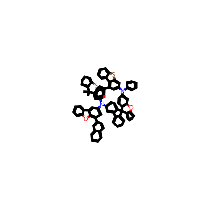 CC1(C)c2ccccc2Sc2ccc(N(c3ccc4c(c3)-c3ccccc3C43c4ccccc4Oc4cc(N(c5ccccc5)c5cc(-c6ccccc6)c6c(c5)sc5ccccc56)ccc43)c3cc(-c4ccc5ccccc5c4)c4oc5ccccc5c4c3)cc21